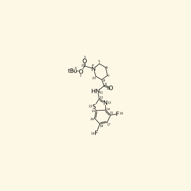 CC(C)(C)OC(=O)N1CCCC(C(=O)Nc2nc3c(F)cc(F)cc3s2)C1